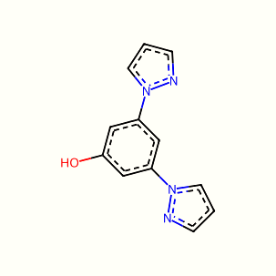 Oc1cc(-n2cccn2)cc(-n2cccn2)c1